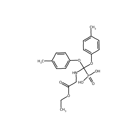 CCOC(=O)CNC(Oc1ccc(C)cc1)(Oc1ccc(C)cc1)P(=O)(O)O